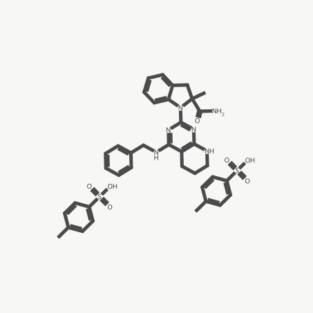 CC1(C(N)=O)Cc2ccccc2N1c1nc2c(c(NCc3ccccc3)n1)CCCN2.Cc1ccc(S(=O)(=O)O)cc1.Cc1ccc(S(=O)(=O)O)cc1